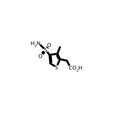 Cc1c(S(N)(=O)=O)csc1CC(=O)O